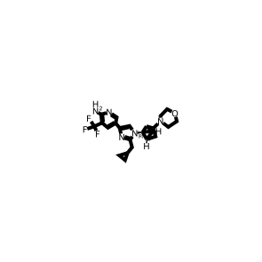 Nc1ncc(-c2cn([C@]34C5C(N6CCOCC6)C[C@@H]3[C@H]54)c(CC3CC3)n2)cc1C(F)(F)F